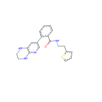 O=C(NCCc1cccs1)c1ccccc1-c1cnc2c(c1)NCCN2